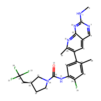 CNc1ncc2cc(-c3cc(NC(=O)N4CC[C@@H](CC(F)(F)F)C4)c(F)cc3C)c(C)nc2n1